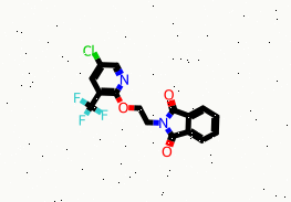 O=C1c2ccccc2C(=O)N1CCOc1ncc(Cl)cc1C(F)(F)F